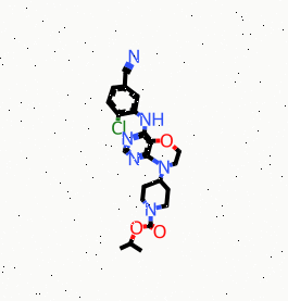 CC(C)OC(=O)N1CCC(N2CCOc3c(Nc4cc(C#N)ccc4Cl)ncnc32)CC1